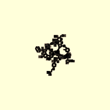 CCNCCOc1ccc(NC(=O)NC(=O)C[C@@H]2NC(=O)[C@H](NC(=O)[C@@H](CC(C)C)NC)[C@H](O)c3ccc(c(C)c3)Oc3cc4cc(c3O[C@@H]3O[C@H](CO)[C@@H](O)[C@H](O)[C@H]3O)Oc3ccc(cc3Cl)[C@@H](O)[C@@H]3NC(=O)[C@H](NC(=O)[C@@H]4NC2=O)c2ccc(O)c(c2)-c2c(O)cc(O)cc2[C@@H](C(=O)NC2C4CC5CC(C4)CC2C5)NC3=O)cc1